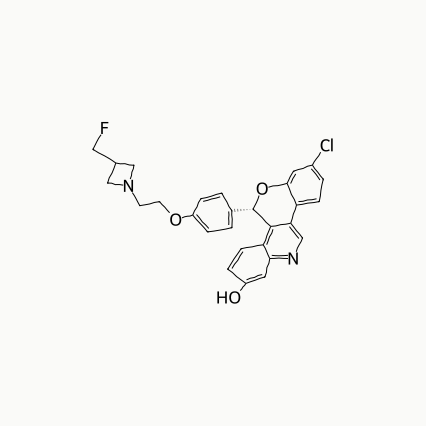 Oc1ccc2c3c(cnc2c1)-c1ccc(Cl)cc1O[C@H]3c1ccc(OCCN2CC(CF)C2)cc1